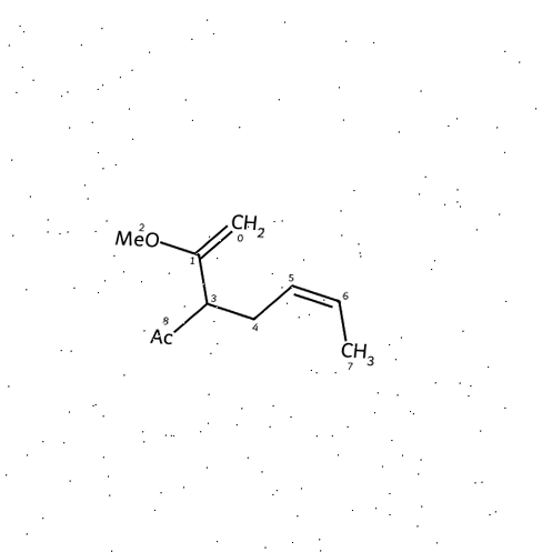 C=C(OC)C(C/C=C\C)C(C)=O